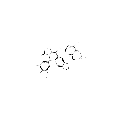 COc1cc(C2c3cc4c(cc3C(O[C@@H]3O[C@@H]5CO[C@@H](C)O[C@H]5[C@H](O)[C@H]3C)C3COC(=O)C23)OCO4)cc(OC)c1O